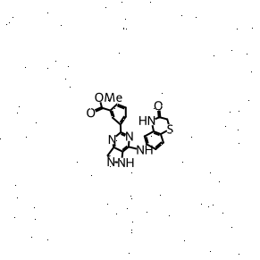 COC(=O)c1cccc(-c2nc(Nc3ccc4c(c3)NC(=O)CS4)c3[nH]ncc3n2)c1